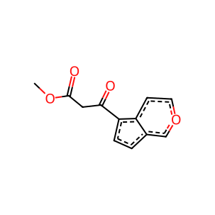 COC(=O)CC(=O)c1ccc2coccc1-2